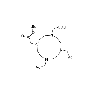 CC(=O)CN1CCN(CC(C)=O)CCN(CC(=O)OC(C)(C)C)CCN(CC(=O)O)CC1